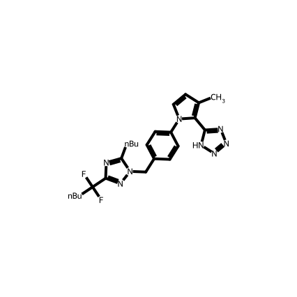 CCCCc1nc(C(F)(F)CCCC)nn1Cc1ccc(-n2ccc(C)c2-c2nnn[nH]2)cc1